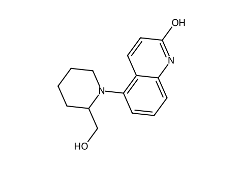 OCC1CCCCN1c1cccc2nc(O)ccc12